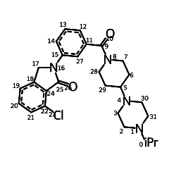 CC(C)N1CCN(C2CCN(C(=O)c3cccc(N4Cc5cccc(Cl)c5C4=O)c3)CC2)CC1